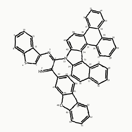 N=C(/C(=N\c1csc2ccccc12)n1c2ccc3ccccc3c2c2c3c4ccccc4c4ccccc4c3ccc21)c1ccc2c(c1)oc1ccccc12